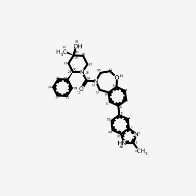 Cc1nc2cc(-c3ccc4c(c3)CN(C(=O)N3CC[C@@](C)(O)C[C@@H]3c3ccccc3)CCO4)ccc2[nH]1